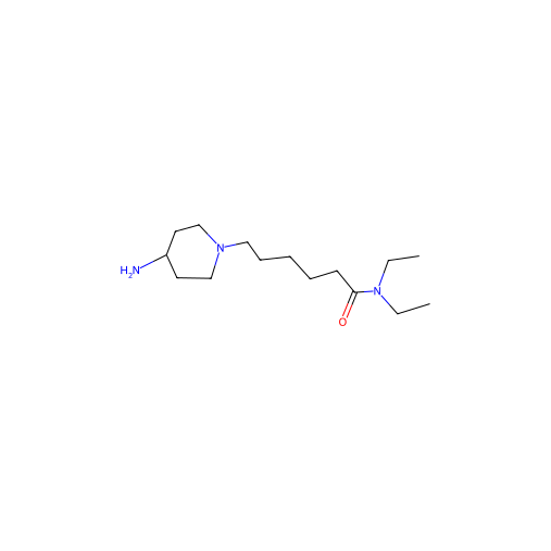 CCN(CC)C(=O)CCCCCN1CCC(N)CC1